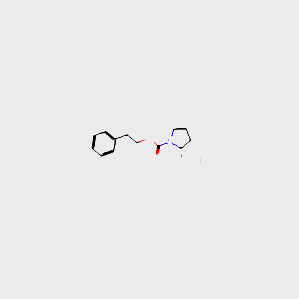 O=C(O)[C@@H]1CCCN1C(=O)OCCc1ccccc1